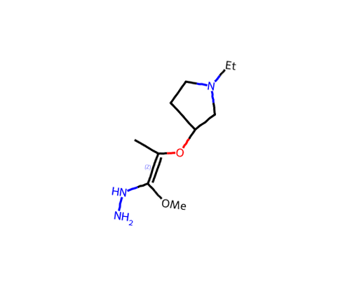 CCN1CCC(O/C(C)=C(/NN)OC)C1